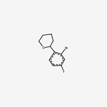 Fc1ccc(C2CCCCO2)c(Br)c1